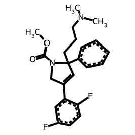 COC(=O)N1CC(c2cc(F)ccc2F)=CC1(CCCN(C)C)c1ccccc1